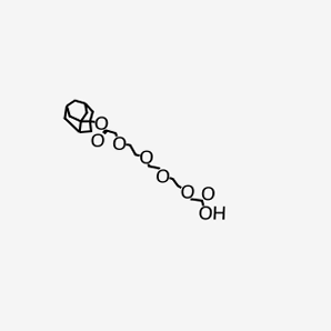 O=C(O)COCCOCCOCCOCC(=O)OC12CC3CC4CC(C1)C2(C4)C3